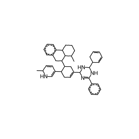 CC1C=CC(C2CC=C(C3N=C(c4ccccc4)NC(C4C=CC=CC4)N3)CC2C2Cc3ccccc3C3CCCC(C)C32)=CN1